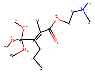 CCCC(=C(C)C(=O)OCCN(C)C)[Si](OC)(OC)OC